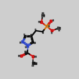 CCOP(=O)(CCc1cnn(C(=O)OC(C)(C)C)c1)OCC